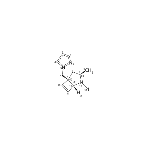 C[C@@H]1C[C@@]2(Cn3cccn3)C=C[C@H]2N1I